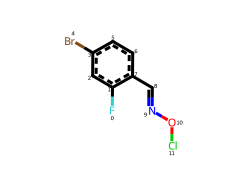 Fc1cc(Br)ccc1C=NOCl